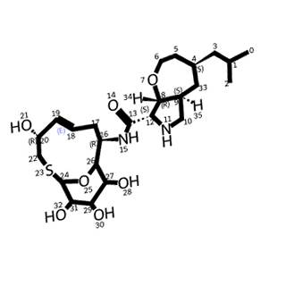 CC(C)C[C@@H]1CCO[C@@H]2[C@H](CN[C@@H]2C(=O)N[C@@H]2C/C=C/[C@@H](O)CSC3OC2C(O)C(O)C3O)C1